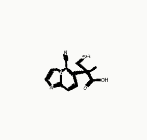 CC(CS)(C(=O)O)c1ccc2nccn2c1C#N